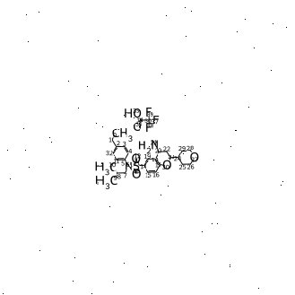 CCc1ccc(N(CC(C)C)S(=O)(=O)c2ccc3c(c2)C(N)CC(C2CCOCC2)O3)cc1.O=C(O)C(F)(F)F